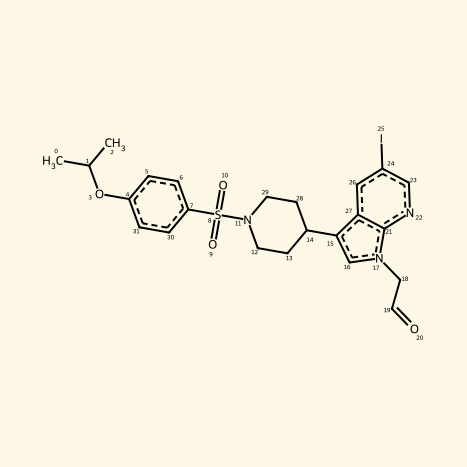 CC(C)Oc1ccc(S(=O)(=O)N2CCC(c3cn(CC=O)c4ncc(I)cc34)CC2)cc1